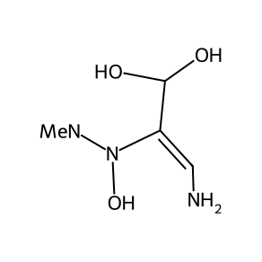 CNN(O)/C(=C\N)C(O)O